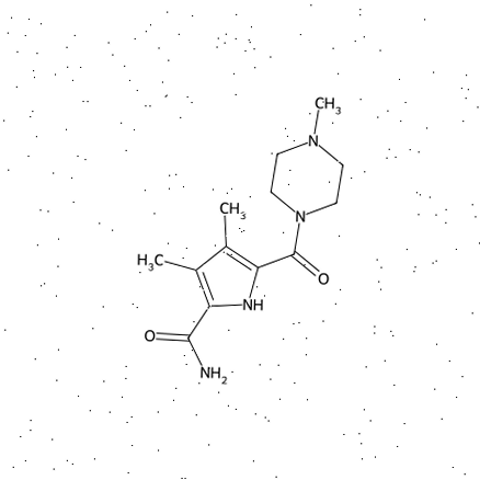 Cc1c(C(N)=O)[nH]c(C(=O)N2CCN(C)CC2)c1C